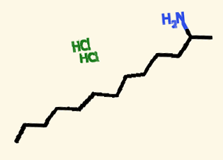 CCCCCCCCCCCC(C)N.Cl.Cl